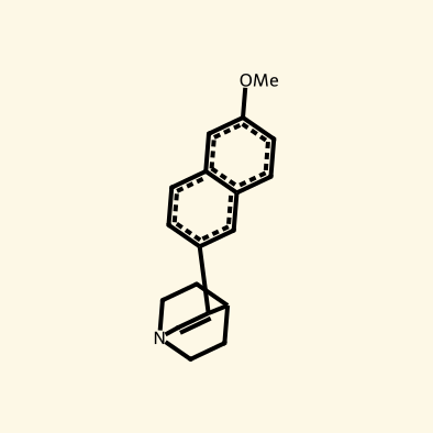 COc1ccc2cc(C3=CN4CCC3CC4)ccc2c1